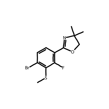 CSc1c(Br)ccc(C2=NC(C)(C)CO2)c1F